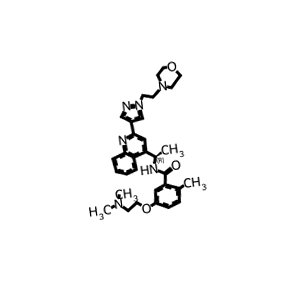 Cc1ccc(OCCN(C)C)cc1C(=O)N[C@H](C)c1cc(-c2cnn(CCN3CCOCC3)c2)nc2ccccc12